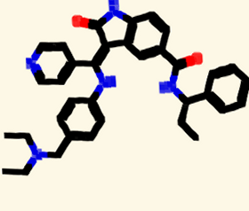 CC[C@@H](NC(=O)c1ccc2c(c1)C(=C(Nc1ccc(CN(CC)CC)cc1)c1ccncc1)C(=O)N2)c1ccccc1